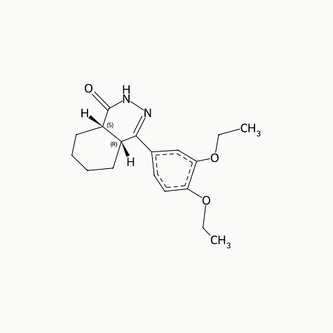 CCOc1ccc(C2=NNC(=O)[C@H]3CCCC[C@@H]23)cc1OCC